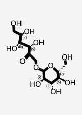 O=C(COC1O[C@H](CO)[C@@H](O)[C@H](O)[C@H]1O)[C@@H](O)[C@H](O)[C@H](O)CO